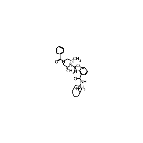 C[C@H]1CN(C(=O)c2ccccc2)C[C@H](C)N1c1nc2c(C(=O)NC3CC4CCCC(C3)N4C)cccc2o1